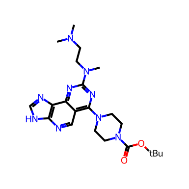 CN(C)CCN(C)c1nc(N2CCN(C(=O)OC(C)(C)C)CC2)c2cnc3[nH]cnc3c2n1